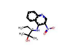 CC[C@@H](Nc1c([N+](=O)[O-])cnc2ccccc12)C(C)(C)O